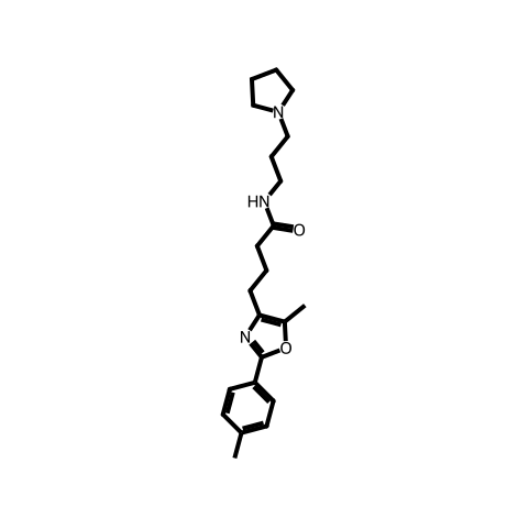 Cc1ccc(-c2nc(CCCC(=O)NCCCN3CCCC3)c(C)o2)cc1